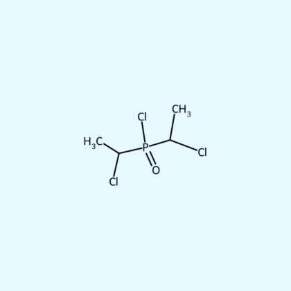 CC(Cl)P(=O)(Cl)C(C)Cl